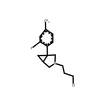 Fc1cc(C(F)(F)F)ccc1C12CC1CN(CCCCl)C2